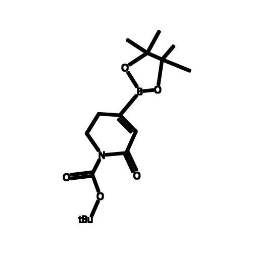 CC(C)(C)OC(=O)N1CCC(B2OC(C)(C)C(C)(C)O2)=CC1=O